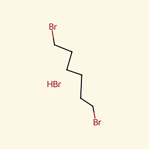 Br.BrCCCCCCBr